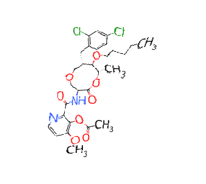 CCCCCO[C@@H]1[C@@H](Cc2ccc(Cl)cc2Cl)COC[C@H](NC(=O)c2nccc(OC)c2OC(C)=O)C(=O)O[C@H]1C